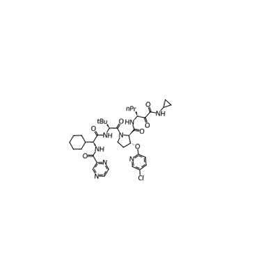 CCC[C@H](NC(=O)[C@H]1[C@H](Oc2ccc(Cl)cn2)CCN1C(=O)[C@@H](NC(=O)[C@@H](NC(=O)c1cnccn1)C1CCCCC1)C(C)(C)C)C(=O)C(=O)NC1CC1